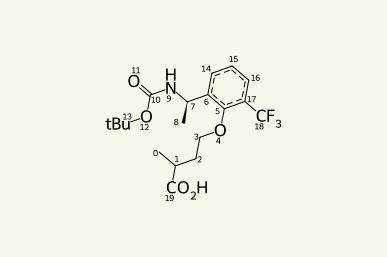 CC(CCOc1c([C@@H](C)NC(=O)OC(C)(C)C)cccc1C(F)(F)F)C(=O)O